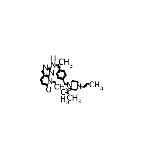 CC=CN1CCN(Cc2ccc([C@H](C)Nc3ncc4ccc(=O)n(CC)c4n3)cc2)[C@@H](C(C)C)C1